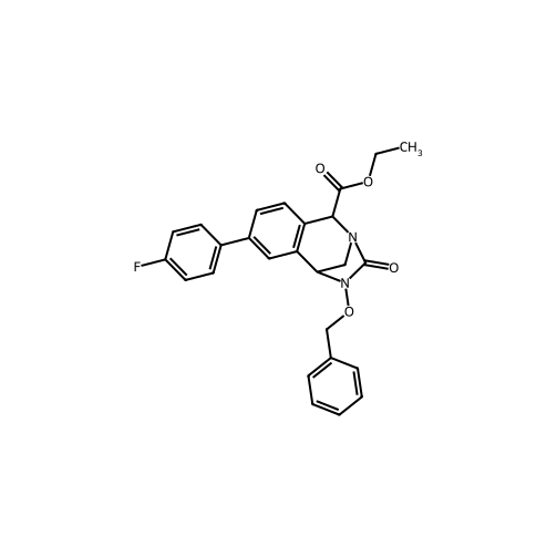 CCOC(=O)C1c2ccc(-c3ccc(F)cc3)cc2C2CN1C(=O)N2OCc1ccccc1